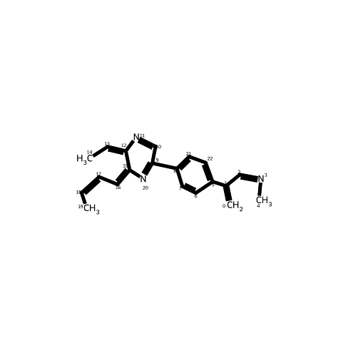 C=C(/C=N\C)c1ccc(-c2cnc(=C/C)/c(=C\C=C/C)n2)cc1